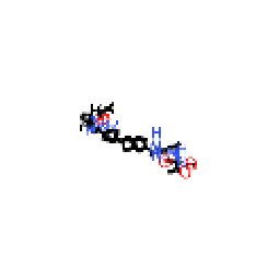 COC(=O)N[C@H](C(=O)N1CC(C)=C[C@H]1c1ncc(-c2ccc3cc(-c4ccc(-c5cnc([C@@H]6[C@@H]7CC[C@@H](C7)N6C(=O)[C@@H](C)C(C)C)[nH]5)cc4)ccc3c2)[nH]1)C(C)C